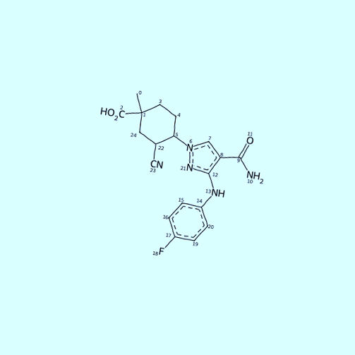 CC1(C(=O)O)CCC(n2cc(C(N)=O)c(Nc3ccc(F)cc3)n2)C(C#N)C1